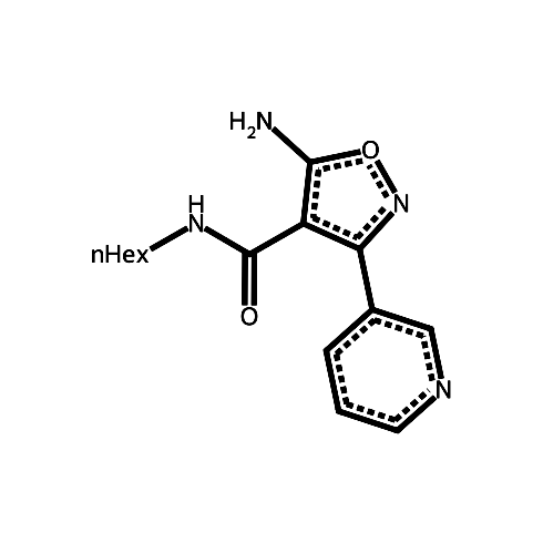 CCCCCCNC(=O)c1c(-c2cccnc2)noc1N